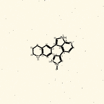 Cn1cc(-c2ccnc3[nH]cc(-c4ccc5c(c4)CCCO5)c23)cn1